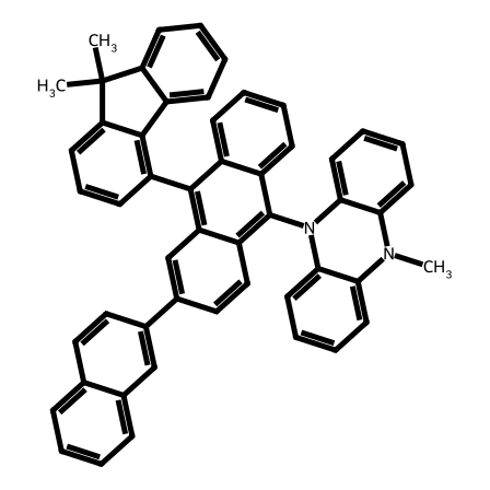 CN1c2ccccc2N(c2c3ccccc3c(-c3cccc4c3-c3ccccc3C4(C)C)c3cc(-c4ccc5ccccc5c4)ccc23)c2ccccc21